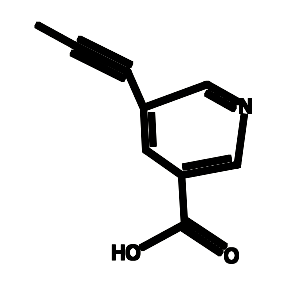 CC#Cc1cncc(C(=O)O)c1